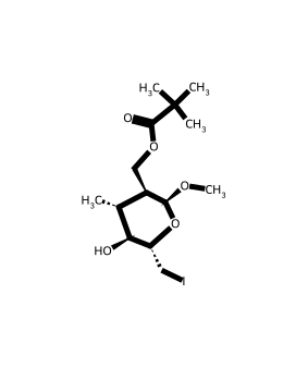 CO[C@H]1O[C@H](CI)[C@@H](O)[C@H](C)[C@H]1COC(=O)C(C)(C)C